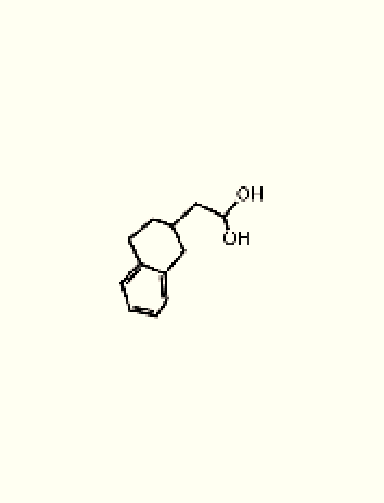 OC(O)CC1CCc2ccccc2C1